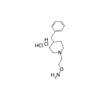 Cl.Cl.NOCCN1CCC(Cc2ccccc2)CC1